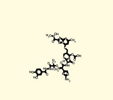 Cc1cc(SCC2=C(OC(=O)O)N3C(=O)[C@@H](NC(=O)/C(=N\OC(C)(C)C(=O)NNC(=O)c4ccc(O)c(O)c4)c4csc(N)n4)[C@H]3SC2)n2nc(C(=O)N(C)O)nc2n1